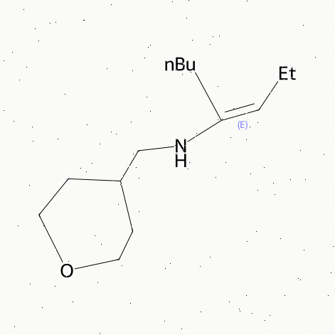 CC/C=C(\CCCC)NCC1CCOCC1